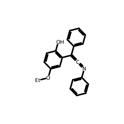 CCOc1ccc(O)c(C(=C=Nc2ccccc2)c2ccccc2)c1